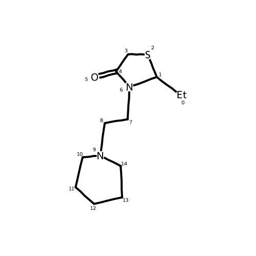 CCC1SCC(=O)N1CCN1CCCCC1